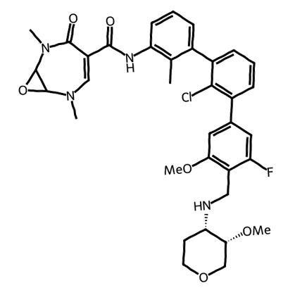 COc1cc(-c2cccc(-c3cccc(NC(=O)C4=CN(C)C5OC5N(C)C4=O)c3C)c2Cl)cc(F)c1CN[C@H]1CCOC[C@H]1OC